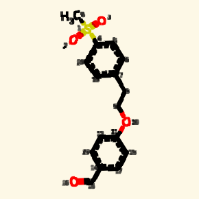 CS(=O)(=O)c1ccc(CCOc2ccc(C=O)cc2)cc1